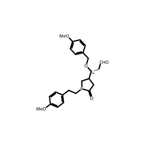 COc1ccc(CCN2CC([C@@H](CC=O)OCc3ccc(OC)cc3)CC2=O)cc1